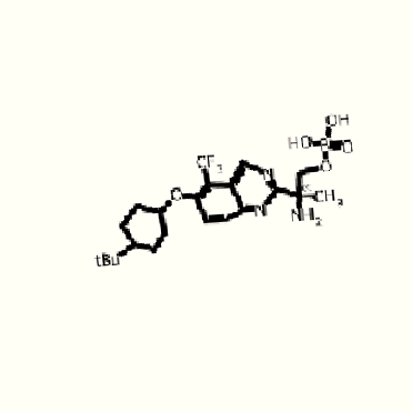 CC(C)(C)C1CCC(Oc2ccc3nc([C@@](C)(N)COP(=O)(O)O)ncc3c2C(F)(F)F)CC1